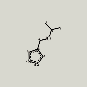 CC(C)OCc1cnsc1